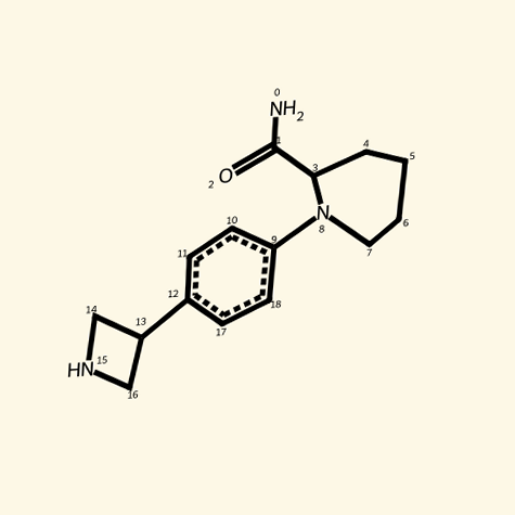 NC(=O)C1CCCCN1c1ccc(C2CNC2)cc1